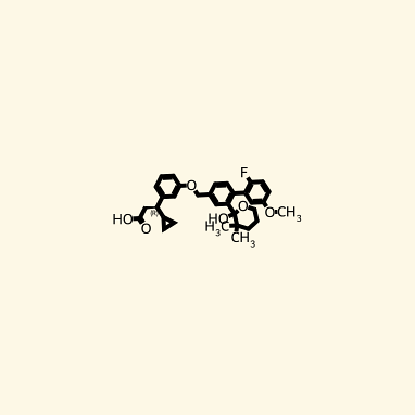 COc1ccc(F)c(-c2ccc(COc3cccc([C@H](CC(=O)O)C4CC4)c3)cc2C2(O)OCCCC2(C)C)c1